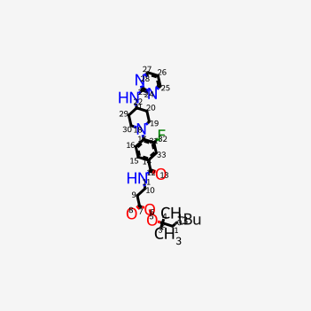 CC(C)(C)CC(C)(C)OOC(=O)CCNC(=O)c1ccc(N2CCC(Nc3ncccn3)CC2)c(F)c1